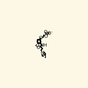 COc1ccc(OCCO[N+](=O)[O-])cc1NC(=O)CCN1CCN(C)CC1